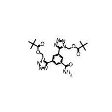 CC(C)(C)C(=O)OCn1nnnc1-c1cc(C(N)=O)cc(-c2nnnn2COC(=O)C(C)(C)C)c1